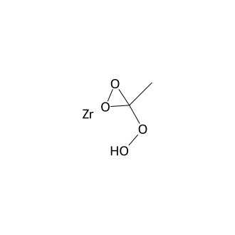 CC1(OO)OO1.[Zr]